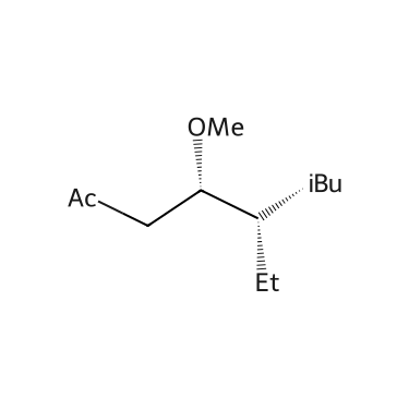 CC[C@H]([C@H](CC(C)=O)OC)[C@@H](C)CC